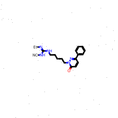 CC/N=C(\NC#N)NCCCCCn1nc(-c2ccccc2)ccc1=O